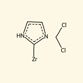 ClCCl.[Zr][c]1ncc[nH]1